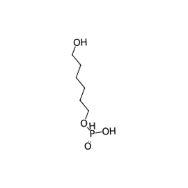 O=[PH](O)OCCCCCCO